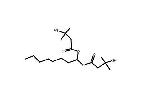 CCCCCCCC(OC(=O)CC(C)(C)S)OC(=O)CC(C)(C)S